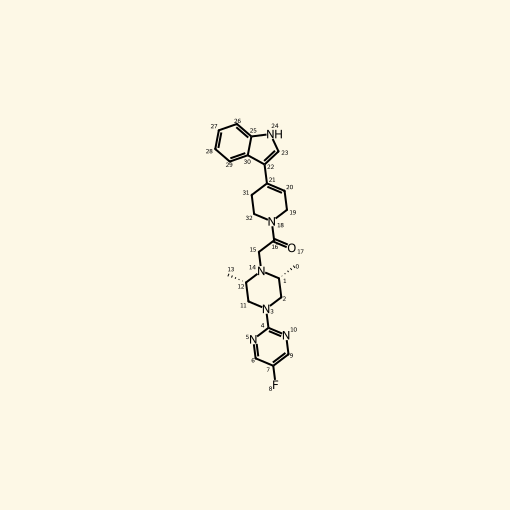 C[C@@H]1CN(c2ncc(F)cn2)C[C@H](C)N1CC(=O)N1CC=C(c2c[nH]c3ccccc23)CC1